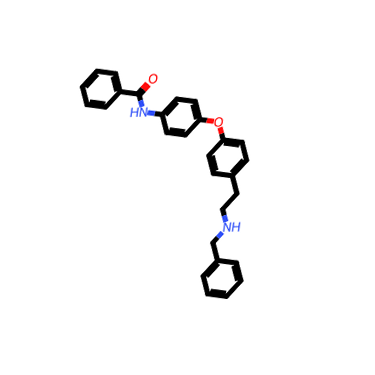 O=C(Nc1ccc(Oc2ccc(CCNCc3ccccc3)cc2)cc1)c1ccccc1